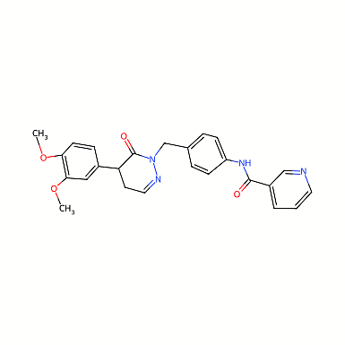 COc1ccc(C2CC=NN(Cc3ccc(NC(=O)c4cccnc4)cc3)C2=O)cc1OC